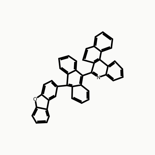 c1ccc2c(c1)ccc1c(-c3c4ccccc4c(-c4ccc5oc6ccccc6c5c4)c4ccccc34)nc3ccccc3c12